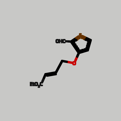 CCOC(=O)C=CCOc1ccsc1C=O